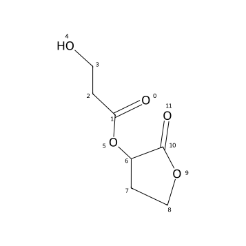 O=C(CCO)OC1CCOC1=O